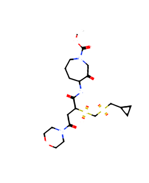 CC(C)(C)OC(=O)N1CCCC(NC(=O)C(CC(=O)N2CCOCC2)S(=O)(=O)CS(=O)(=O)CC2CC2)C(=O)C1